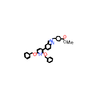 COC(=O)C1CCC(Cn2cc3cc(-c4ccc(OCc5ccccc5)nc4OCc4ccccc4)ccc3n2)CC1